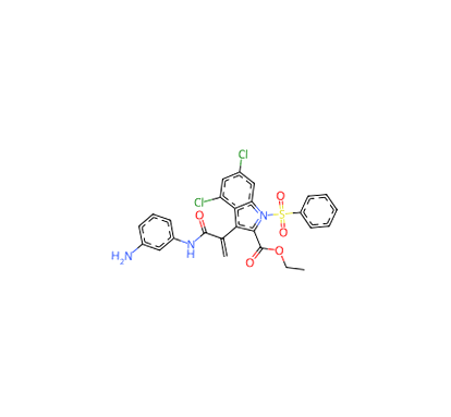 C=C(C(=O)Nc1cccc(N)c1)c1c(C(=O)OCC)n(S(=O)(=O)c2ccccc2)c2cc(Cl)cc(Cl)c12